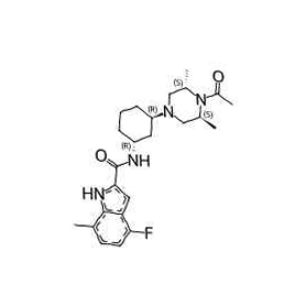 CC(=O)N1[C@@H](C)CN([C@@H]2CCC[C@@H](NC(=O)c3cc4c(F)ccc(C)c4[nH]3)C2)C[C@@H]1C